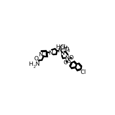 CN(C1CCN(c2ccnc(CC(N)=O)c2)CC1)N1CCN(S(=O)(=O)c2ccc3cc(Cl)ccc3c2)CC1=O.Cl